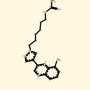 Cc1cccc2ncc(-c3cnn(CCCCCCOC(N)=O)c3)nc12